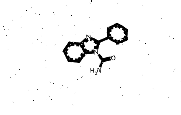 NC(=O)n1c(-c2ccccc2)nc2c[c]ccc21